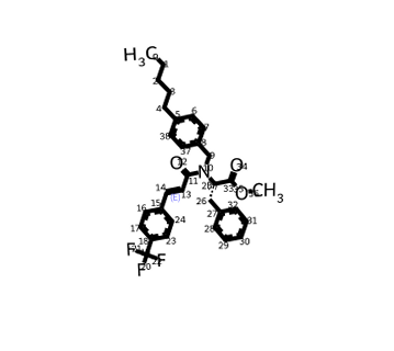 CCCCCc1ccc(CN(C(=O)/C=C/c2ccc(C(F)(F)F)cc2)[C@@H](Cc2ccccc2)C(=O)OC)cc1